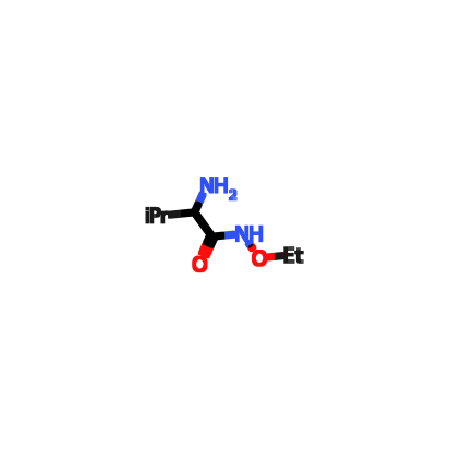 CCONC(=O)C(N)C(C)C